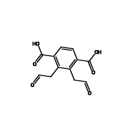 O=CCc1c(C(=O)O)ccc(C(=O)O)c1CC=O